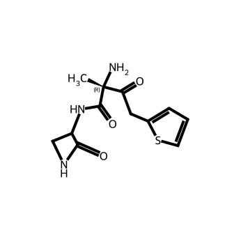 C[C@@](N)(C(=O)Cc1cccs1)C(=O)NC1CNC1=O